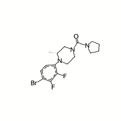 C[C@@H]1CN(C(=O)N2CCCC2)CCN1c1ccc(Br)c(F)c1F